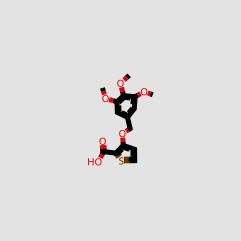 COc1cc(COc2ccsc2C(=O)O)cc(OC)c1OC